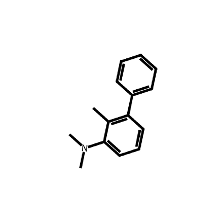 Cc1c(-c2ccccc2)cccc1N(C)C